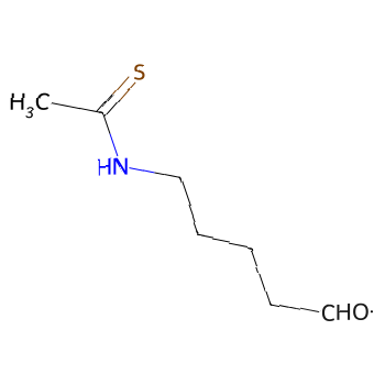 CC(=S)NCCCC[C]=O